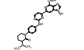 COc1nc(-c2ccnc(Nc3ccc(N4CCCC(N(C)C)C4=O)cc3)n2)cc2c1ncn2C(C)C